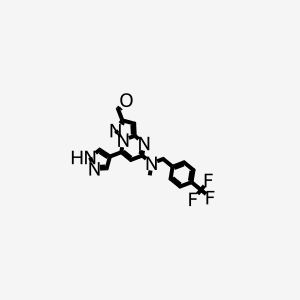 CN(Cc1ccc(C(F)(F)F)cc1)c1cc(-c2cn[nH]c2)n2nc(C=O)cc2n1